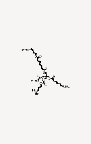 CCCCC/C=C\CCOC(=O)CCCCCC(=O)OCC(COC(=O)CCCCCC)(COC(=O)CCCCCC=O)COC(=O)OCCCN(CC)CC